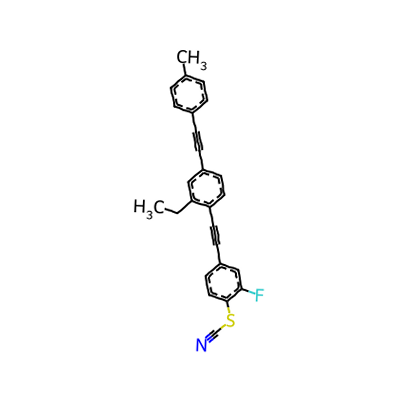 CCc1cc(C#Cc2ccc(C)cc2)ccc1C#Cc1ccc(SC#N)c(F)c1